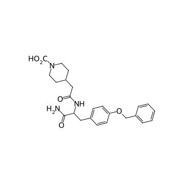 NC(=O)C(Cc1ccc(OCc2ccccc2)cc1)NC(=O)CC1CCN(C(=O)O)CC1